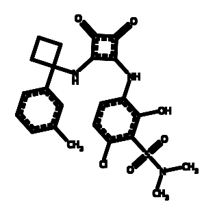 Cc1cccc(C2(Nc3c(Nc4ccc(Cl)c(S(=O)(=O)N(C)C)c4O)c(=O)c3=O)CCC2)c1